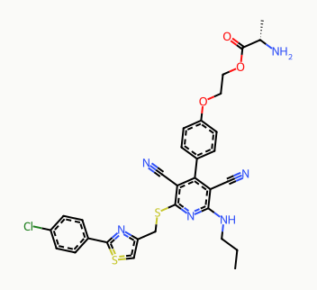 CCCNc1nc(SCc2csc(-c3ccc(Cl)cc3)n2)c(C#N)c(-c2ccc(OCCOC(=O)[C@H](C)N)cc2)c1C#N